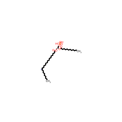 CCCCCCCC/C=C\CCCCCCCCCCCCCC(=O)OC[C@H](COP(=O)(O)O)OC(=O)CCCCCCCCCCC